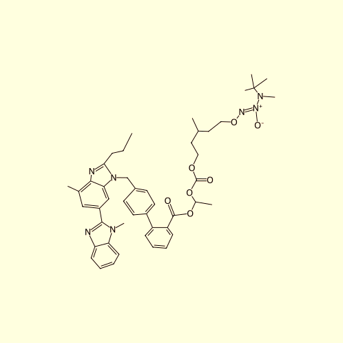 CCCc1nc2c(C)cc(-c3nc4ccccc4n3C)cc2n1Cc1ccc(-c2ccccc2C(=O)OC(C)OC(=O)OCCC(C)CCO/N=[N+](\[O-])N(C)C(C)(C)C)cc1